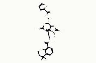 CC1(C)CCOc2c(C(=O)NC3CN4C(=N)N[C@@H](CNC(=O)c5ccc[nH]5)C5NC(=N)NC54[C@@H]3O)cccc21